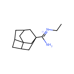 CC/N=C(\N)C12CC3CC4CC(C1)C4(C3)C2